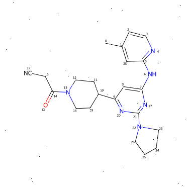 Cc1ccnc(Nc2cc(C3CCN(C(=O)CC#N)CC3)nc(N3CCCC3)n2)c1